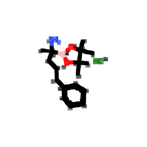 CC1(C)OB([C@@](C)(N)CCCc2ccccc2)OC1(C)C.Cl